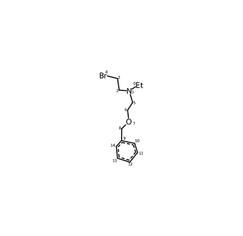 CCN(CCBr)CCOCc1ccccc1